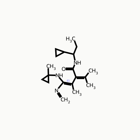 C=N/C(NC1(C)CC1)=C(\C)C(C(=O)NC(CC)C1CC1)=C(C)C